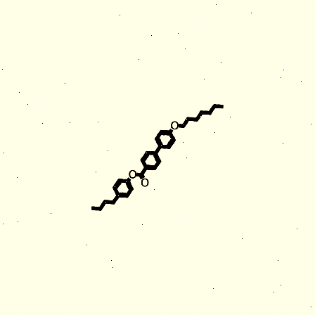 CCCCCCCOc1ccc(-c2ccc(C(=O)Oc3ccc(CCCC)cc3)cc2)cc1